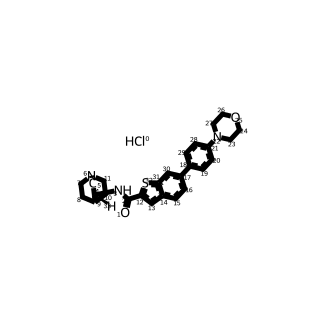 Cl.O=C(N[C@H]1CN2CCC1CC2)c1cc2ccc(-c3ccc(N4CCOCC4)cc3)cc2s1